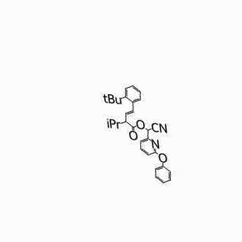 CC(C)C(C=Cc1ccccc1C(C)(C)C)C(=O)OC(C#N)c1cccc(Oc2ccccc2)n1